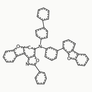 c1ccc(-c2ccc(N(c3cccc(-c4cccc5c4oc4ccccc45)c3)c3cc4oc5ccccc5c4c4nc(-c5ccccc5)oc34)cc2)cc1